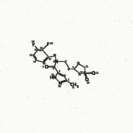 Cc1cc(C(=O)N(CCC2CCS(=O)(=O)C2)Cc2cccc(F)c2F)[nH]n1